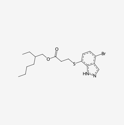 CCCCC(CC)COC(=O)CCSc1ccc(Br)c2cn[nH]c12